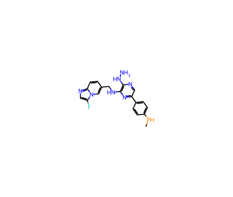 CPc1ccc(-c2cnc(NN)c(NCc3ccc4ncc(F)n4c3)n2)cc1